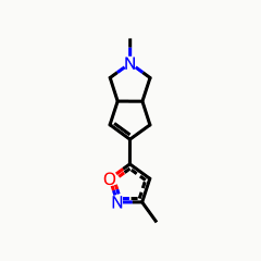 Cc1cc(C2=CC3CN(C)CC3C2)on1